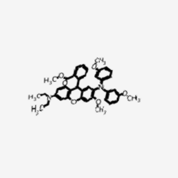 CCN(CC)c1ccc2c(c1)Oc1cc(OC)c(N(c3cccc(OC)c3)c3cccc(OC)c3)cc1C2c1ccccc1C(=O)OC